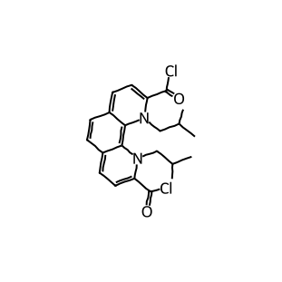 CC(C)CN1C(C(=O)Cl)=CC=c2ccc3c(c21)N(CC(C)C)C(C(=O)Cl)=CC=3